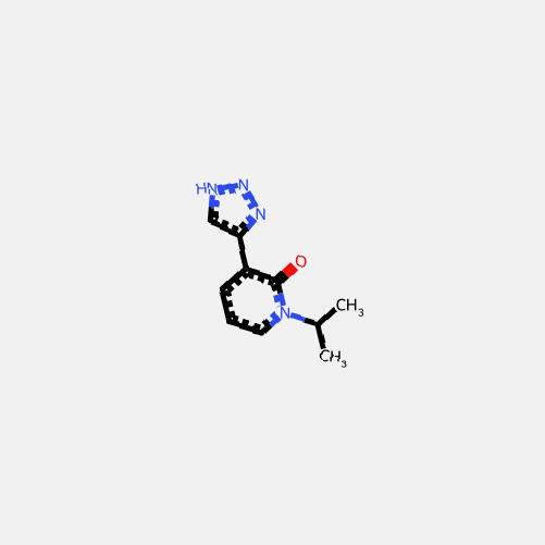 CC(C)n1cccc(-c2c[nH]nn2)c1=O